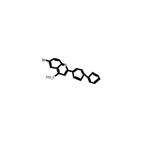 O=C(O)c1cc(-c2ccc(-c3ccccc3)cc2)nc2ccc(Br)cc12